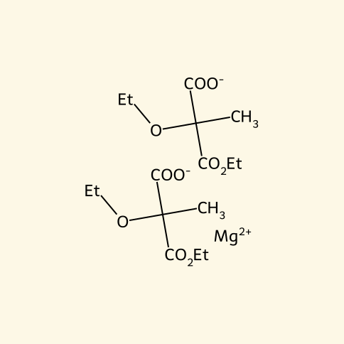 CCOC(=O)C(C)(OCC)C(=O)[O-].CCOC(=O)C(C)(OCC)C(=O)[O-].[Mg+2]